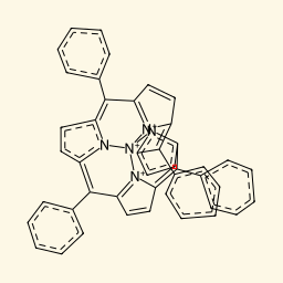 C1=CC2=[N+]3C1=C(c1ccccc1)c1ccc4n1[N+]31n3c(ccc3=C(c3ccccc3)C3=[N+]1C(=C4c1ccccc1)C=C3)=C2c1ccccc1